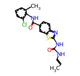 CC=CNC(=O)Nc1nc2ccc(C(=O)Nc3c(C)cccc3Cl)cc2s1